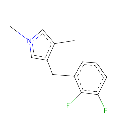 Cc1cn(C)cc1Cc1cccc(F)c1F